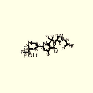 Cc1cc(-c2cncc([C@@H](O)C(F)(F)F)c2)nc2c1C(=O)N(c1cnn(CC(F)I)c1)C2(C)C